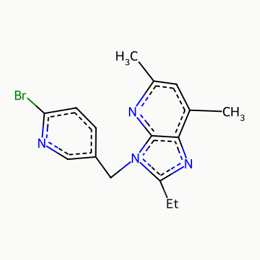 CCc1nc2c(C)cc(C)nc2n1Cc1ccc(Br)nc1